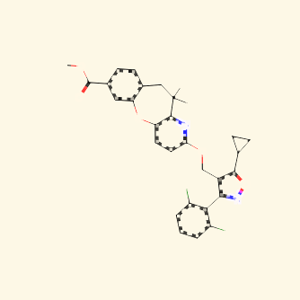 COC(=O)c1ccc2c(c1)Oc1ccc(OCc3c(-c4c(Cl)cccc4Cl)noc3C3CC3)nc1C(C)(C)C2